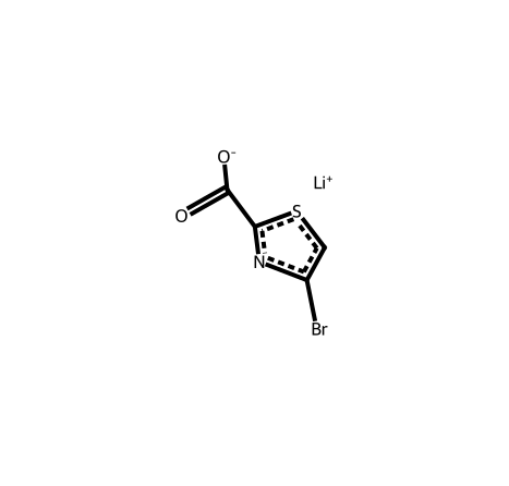 O=C([O-])c1nc(Br)cs1.[Li+]